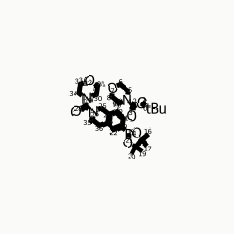 CC(C)(C)OC(=O)N1CCOC[C@H]1c1cc(B2OC(C)(C)C(C)(C)O2)cc2c1CN(C(=O)N1CCOCC1)CC2